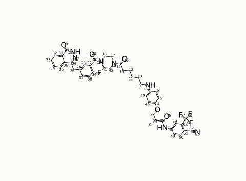 C[C@H](COc1ccc(NCCCCCC(=O)N2CCN(C(=O)c3cc(Cc4n[nH]c(=O)c5ccccc45)ccc3F)CC2)cc1)C(=O)Nc1ccc(C#N)c(C(F)(F)F)c1